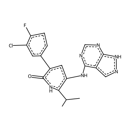 CC(C)c1[nH]c(=O)c(-c2ccc(F)c(Cl)c2)cc1Nc1ncnc2[nH]ncc12